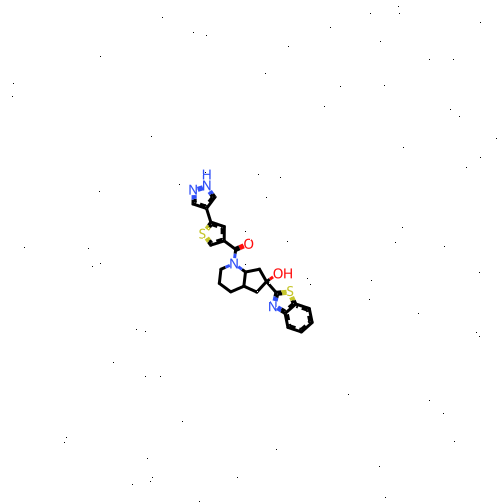 O=C(c1csc(-c2cn[nH]c2)c1)N1CCCC2CC(O)(c3nc4ccccc4s3)CC21